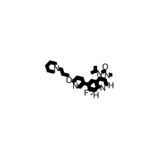 [2H]c1c(F)c(-c2ccc(OCCCN3CCCCC3)nc2)cc2c1nc([2H])c1c2n(C(C)C)c(=O)n1C